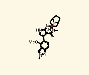 COc1c(-c2c[nH]c3nc(N4C5CCC4CC(N)C5)n(C)c(=O)c23)ccc2nn(C)cc12